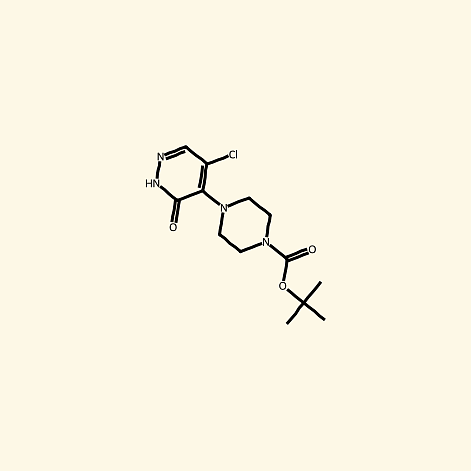 CC(C)(C)OC(=O)N1CCN(c2c(Cl)cn[nH]c2=O)CC1